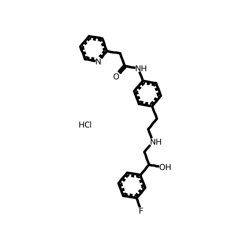 Cl.O=C(Cc1ccccn1)Nc1ccc(CCNCC(O)c2cccc(F)c2)cc1